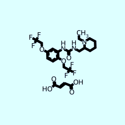 CCN1CCCCC1CNC(=O)Nc1cc(OCC(F)(F)F)ccc1OCC(F)(F)F.O=C(O)C=CC(=O)O